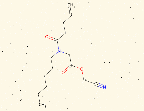 C=CCCC(=O)N(CCCCCC)CC(=O)OCC#N